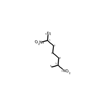 CCC(C[CH]CC(C)[N+](=O)[O-])[N+](=O)[O-]